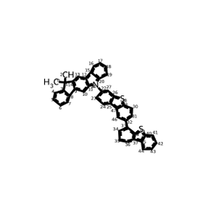 CC1(C)c2ccccc2-c2cc3c(cc21)c1ccccc1n3-c1ccc2c(c1)sc1ccc(-c3cccc4c3sc3ccccc34)cc12